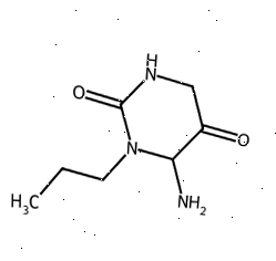 CCCN1C(=O)NCC(=O)C1N